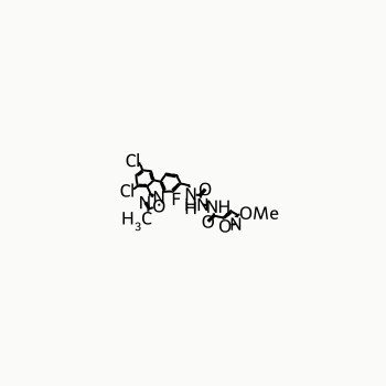 COc1cc(C(=O)NNC(=O)NCc2ccc(-c3cc(Cl)cc(Cl)c3-c3noc(C)n3)cc2F)on1